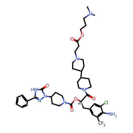 CN(C)CCCOC(=O)CCN1CCC(C2CCN(C(=O)[C@@H](Cc3cc(Cl)c(N)c(C(F)(F)F)c3)OC(=O)N3CCC(n4nc(-c5ccccc5)[nH]c4=O)CC3)CC2)CC1